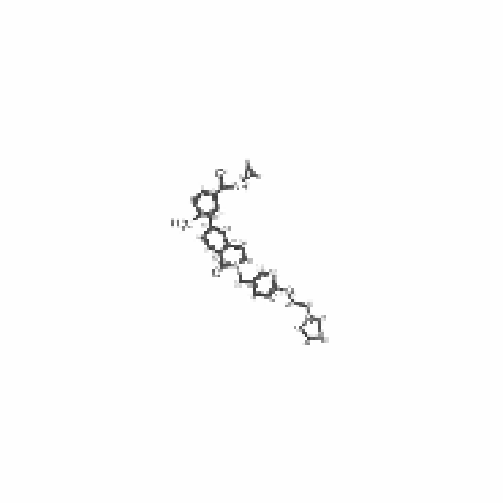 Cc1ccc(C(=O)NC2CC2)cc1-c1ccc2c(=O)n(Cc3ccc(OCCN4CCCC4)nc3)ccc2c1